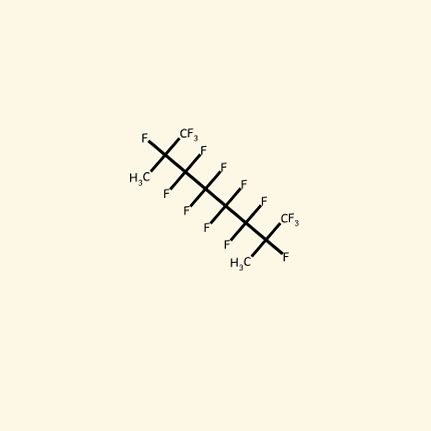 CC(F)(C(F)(F)F)C(F)(F)C(F)(F)C(F)(F)C(F)(F)C(C)(F)C(F)(F)F